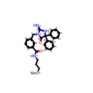 COCCCNC(=O)c1cccc(CN2C(=N)NC(c3ccccc3)(c3ccccc3)C2=O)c1